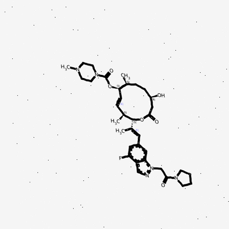 C/C(=C\c1cc(F)c2cnn(CC(=O)N3CCCC3)c2c1)[C@H]1OC(=O)C[C@H](O)CC[C@H](C)[C@H](OC(=O)N2CCN(C)CC2)/C=C/[C@@H]1C